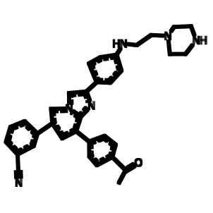 CC(=O)c1ccc(-c2cc(-c3cccc(C#N)c3)cn3cc(-c4ccc(NCCN5CCNCC5)cc4)nc23)cc1